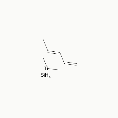 C=CC=CC.[CH3][Ti][CH3].[SiH4]